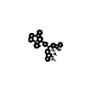 CC1(C)c2ccccc2-c2ccc(N(c3ccc(-c4cc5c6ccccc6n(-c6ccccc6)c5c5c4c4ccccc4n5-c4ccccc4)cc3)c3ccc4c(c3)C(C)(C)c3ccccc3-4)cc21